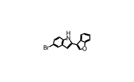 Brc1ccc2[nH]c(-c3coc4ccccc34)cc2c1